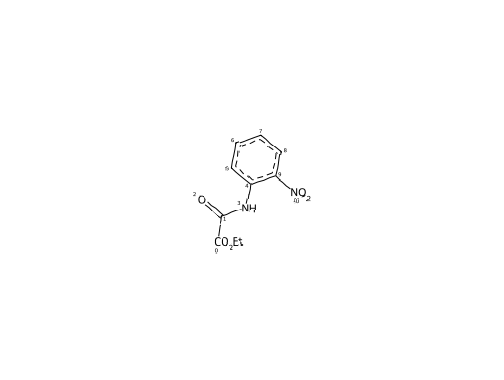 CCOC(=O)C(=O)Nc1ccccc1[N+](=O)[O-]